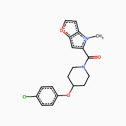 Cn1c(C(=O)N2CCC(Oc3ccc(Cl)cc3)CC2)cc2occc21